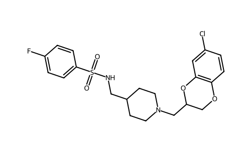 O=S(=O)(NCC1CCN(CC2COc3ccc(Cl)cc3O2)CC1)c1ccc(F)cc1